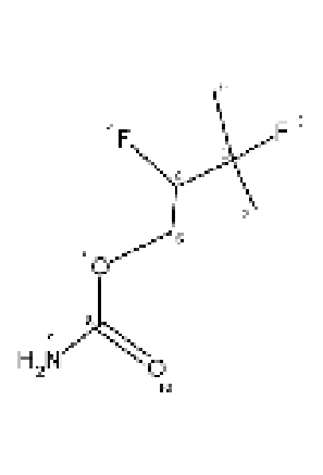 CC(C)(F)C(F)COC(N)=O